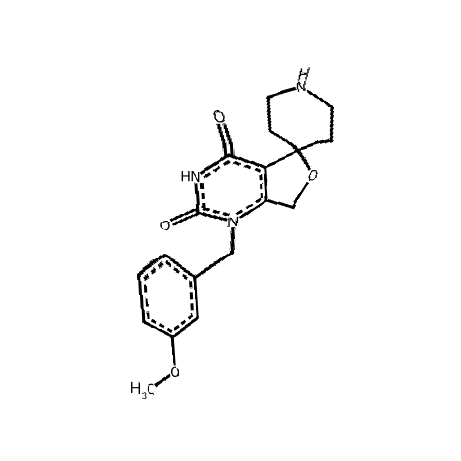 COc1cccc(Cn2c3c(c(=O)[nH]c2=O)C2(CCNCC2)OC3)c1